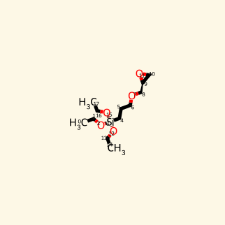 CCO[Si](CCCOC[C@@H]1CO1)(OCC)OCC